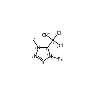 CN1N=CN(F)C1C(Cl)(Cl)Cl